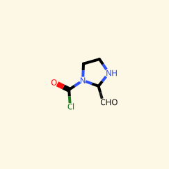 O=CC1NCCN1C(=O)Cl